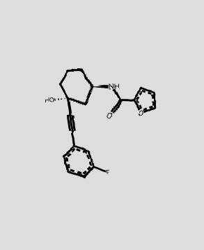 O=C(N[C@@H]1CCC[C@](O)(C#Cc2cccc(F)c2)C1)c1ccco1